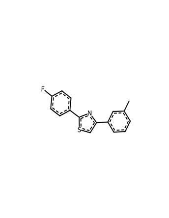 Cc1cccc(-c2csc(-c3ccc(F)cc3)n2)c1